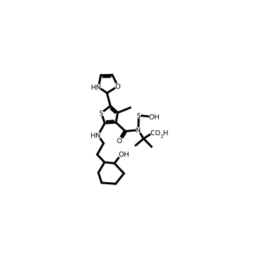 Cc1c(C2NC=CO2)sc(NCCC2CCCCC2O)c1C(=O)N(SO)C(C)(C)C(=O)O